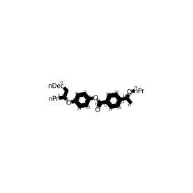 CCCCCCCCCCCC(CCC)Oc1ccc(OC(=O)c2ccc(C(C)OCCC)cc2)cc1